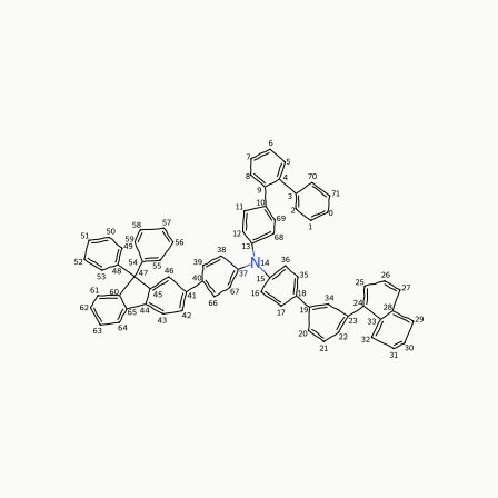 c1ccc(-c2ccccc2-c2ccc(N(c3ccc(-c4cccc(-c5cccc6ccccc56)c4)cc3)c3ccc(-c4ccc5c(c4)C(c4ccccc4)(c4ccccc4)c4ccccc4-5)cc3)cc2)cc1